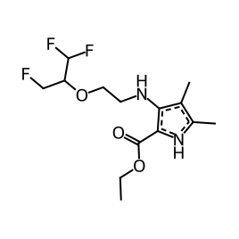 CCOC(=O)c1[nH]c(C)c(C)c1NCCOC(CF)C(F)F